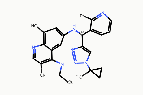 CCc1ncccc1[C@H](Nc1cc(C#N)c2ncc(C#N)c(NCC(C)(C)C)c2c1)c1cn(C2(C(F)(F)F)CC2)nn1